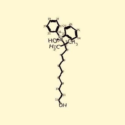 CC(C)(CCCCCCCCCCO)[Si](O)(c1ccccc1)c1ccccc1